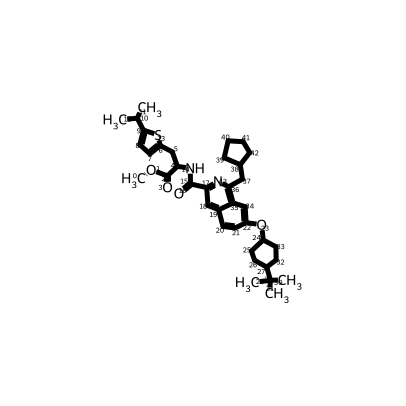 COC(=O)C(Cc1ccc(C(C)C)s1)NC(=O)c1cc2ccc(OC3CCC(C(C)(C)C)CC3)cc2c(CC2CCCC2)n1